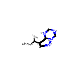 CCCCCCCC(CCCC)c1cnn2cncnc12